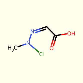 CN(Cl)/N=C\C(=O)O